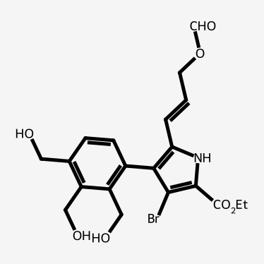 CCOC(=O)c1[nH]c(C=CCOC=O)c(-c2ccc(CO)c(CO)c2CO)c1Br